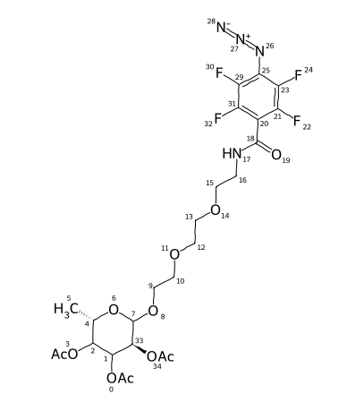 CC(=O)OC1C(OC(C)=O)[C@H](C)OC(OCCOCCOCCNC(=O)c2c(F)c(F)c(N=[N+]=[N-])c(F)c2F)[C@H]1OC(C)=O